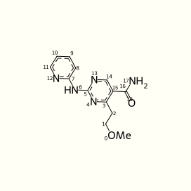 COCCc1nc(Nc2ccccn2)ncc1C(N)=O